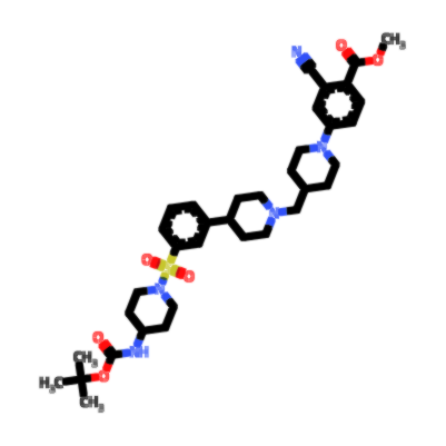 COC(=O)c1ccc(N2CCC(CN3CCC(c4cccc(S(=O)(=O)N5CCC(NC(=O)OC(C)(C)C)CC5)c4)CC3)CC2)cc1C#N